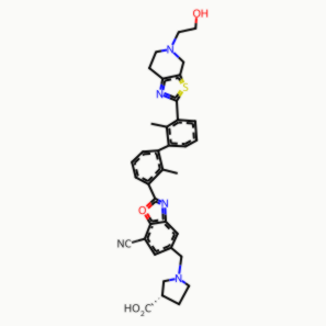 Cc1c(-c2nc3cc(CN4CC[C@H](C(=O)O)C4)cc(C#N)c3o2)cccc1-c1cccc(-c2nc3c(s2)CN(CCO)CC3)c1C